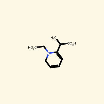 CC(C1=CC=CCN1CC(=O)O)S(=O)(=O)O